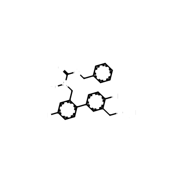 CCN(Cc1cc(F)ccc1-c1ccc(Cl)c(CC(=O)O)c1)C(=O)OCc1ccccc1